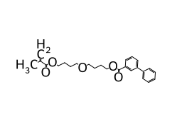 C=C(C)C(=O)OCCCCOCCCCOC(=O)c1cccc(-c2ccccc2)c1